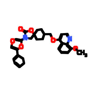 COc1cccc2c(OCC3CCC4(CC3)CN(C3=COC=C(C5=CC=CCC5)O3)C(=O)O4)ccnc12